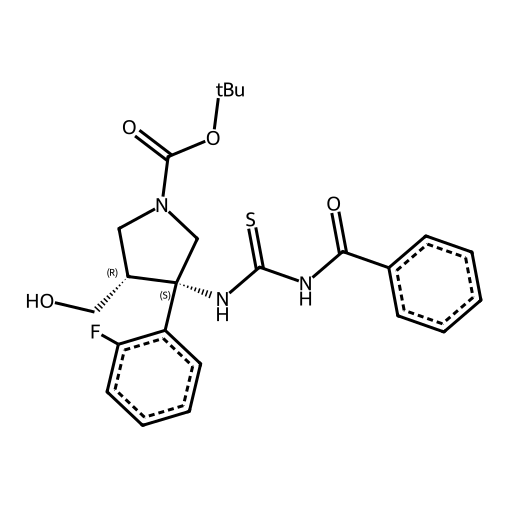 CC(C)(C)OC(=O)N1C[C@@H](CO)[C@](NC(=S)NC(=O)c2ccccc2)(c2ccccc2F)C1